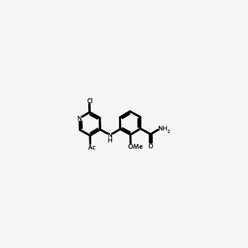 COc1c(Nc2cc(Cl)ncc2C(C)=O)cccc1C(N)=O